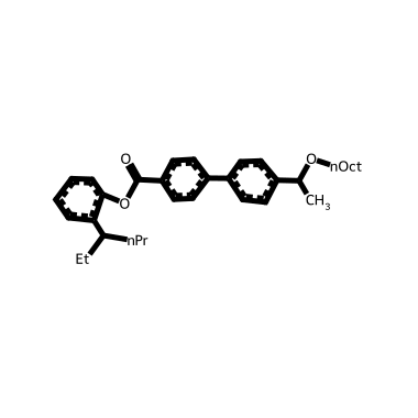 CCCCCCCCOC(C)c1ccc(-c2ccc(C(=O)Oc3ccccc3C(CC)CCC)cc2)cc1